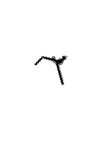 CCCCCCCC/C=C\CCCCCCCC(=O)OC[C@H](COP(=O)([O-])OCC[N+](C)(C)C)OC(=O)CCCCCCCCCCCCCCCCC